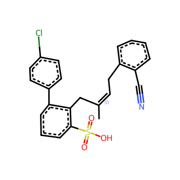 C/C(=C/Cc1ccccc1C#N)Cc1c(-c2ccc(Cl)cc2)cccc1S(=O)(=O)O